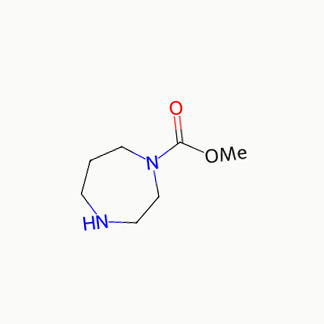 COC(=O)N1CCCNCC1